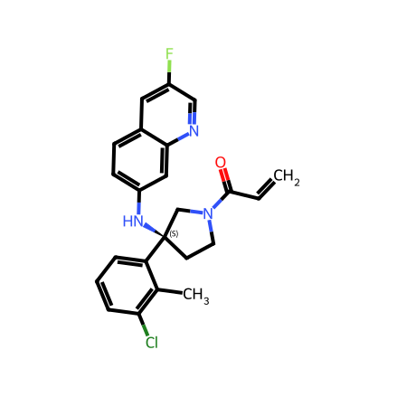 C=CC(=O)N1CC[C@](Nc2ccc3cc(F)cnc3c2)(c2cccc(Cl)c2C)C1